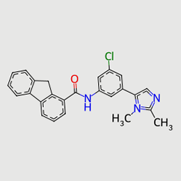 Cc1ncc(-c2cc(Cl)cc(NC(=O)c3cccc4c3Cc3ccccc3-4)c2)n1C